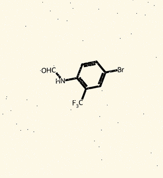 O=[C]Nc1ccc(Br)cc1C(F)(F)F